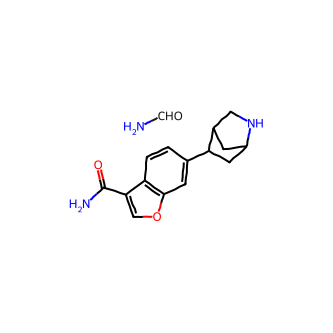 NC(=O)c1coc2cc(C3CC4CC3CN4)ccc12.NC=O